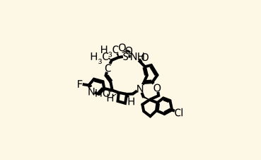 C[C@@H]1[C@@H](C)C/C=C/[C@@](O)(c2ccc(F)nc2)[C@@H]2CC[C@H]2CN2C[C@@]3(CCCc4cc(Cl)ccc43)COc3ccc(cc32)C(=O)NS1(=O)=O